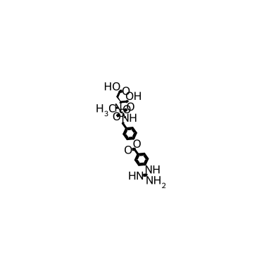 CN([C@@H](CC(=O)O)C(=O)O)S(=O)(=O)NCc1ccc(OC(=O)c2ccc(NC(=N)N)cc2)cc1